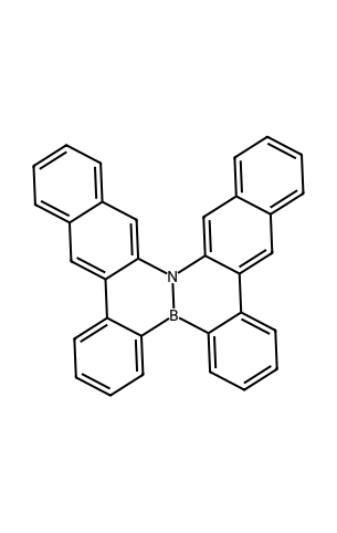 c1ccc2c(c1)B1c3ccccc3-c3cc4ccccc4cc3N1c1cc3ccccc3cc1-2